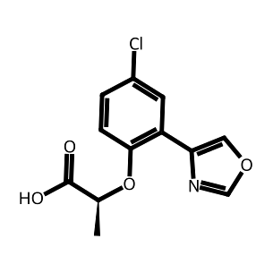 C[C@H](Oc1ccc(Cl)cc1-c1cocn1)C(=O)O